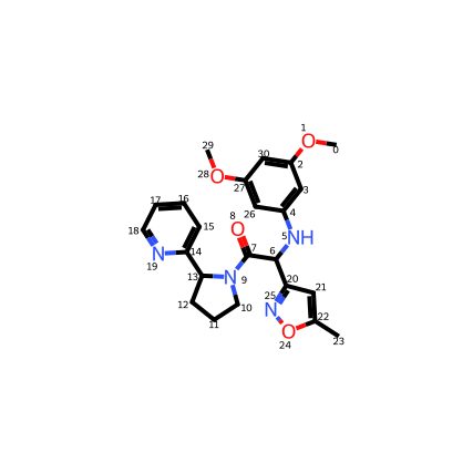 COc1cc(NC(C(=O)N2CCCC2c2ccccn2)c2cc(C)on2)cc(OC)c1